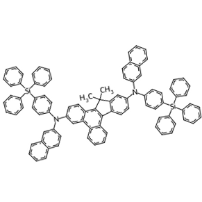 CC1(C)c2cc(N(c3ccc([Si](c4ccccc4)(c4ccccc4)c4ccccc4)cc3)c3ccc4ccccc4c3)ccc2-c2c1c1ccc(N(c3ccc([Si](c4ccccc4)(c4ccccc4)c4ccccc4)cc3)c3ccc4ccccc4c3)cc1c1ccccc21